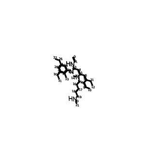 C=CNC(/C=C(/C=C(\C=C/C)CC)N(C)CCCCCNC)=N\c1cc(CC)cc(CC)c1C